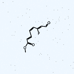 COC(=O)/C=C/C=C\C(F)=C\C=O